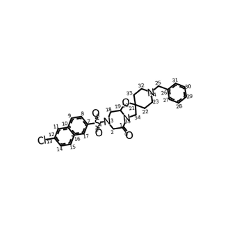 O=C1CN(S(=O)(=O)c2ccc3cc(Cl)ccc3c2)CC2OC3(CCN(Cc4ccccc4)CC3)CN12